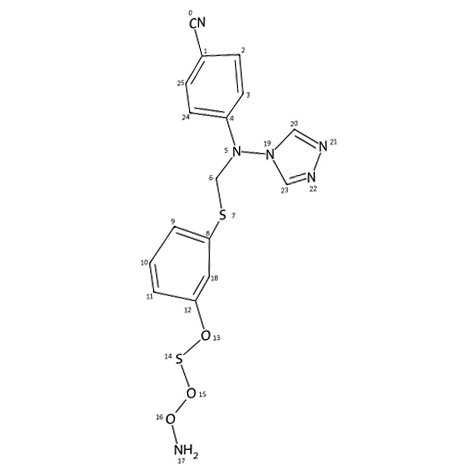 N#Cc1ccc(N(CSc2cccc(OSOON)c2)n2cnnc2)cc1